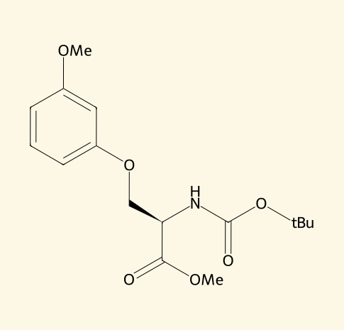 COC(=O)[C@@H](COc1cccc(OC)c1)NC(=O)OC(C)(C)C